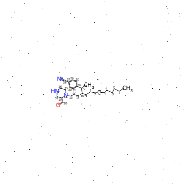 CCCCCCCCCCC(CCCN1CCNCC1C=O)C(C)c1ccc(C#N)cc1